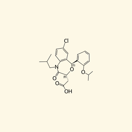 CC(C)CN1C(=O)[C@@H](CC(=O)O)O[C@H](c2ccccc2OC(C)C)c2cc(Cl)ccc21